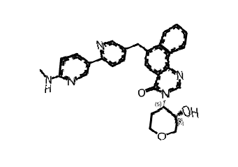 CNc1ccc(-c2ccc(Cc3cc4c(=O)n([C@H]5CCOC[C@@H]5O)cnc4c4ccccc34)cn2)cn1